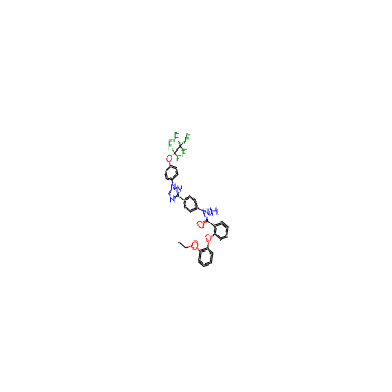 CCOc1ccccc1Oc1ccccc1C(=O)Nc1ccc(-c2ncn(-c3ccc(OC(F)(F)C(F)(F)F)cc3)n2)cc1